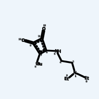 CCN(CC)CCNc1c(C(C)(C)C)c(=O)c1=O